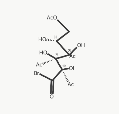 CC(=O)OC[C@@H](O)[C@](O)(C(C)=O)[C@@](O)(C(C)=O)[C@](O)(C(C)=O)C(=O)Br